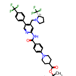 CC(C)(C)OC(=O)C1CCN(c2ccc(C(=O)Nc3cc(CN4CCC[C@H]4C(F)(F)F)c(-c4ccc(C(F)(F)F)cc4)cn3)cc2)CC1